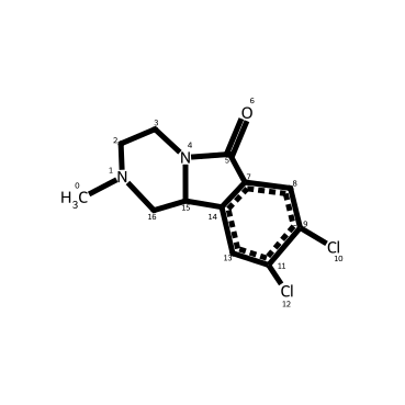 CN1CCN2C(=O)c3cc(Cl)c(Cl)cc3C2C1